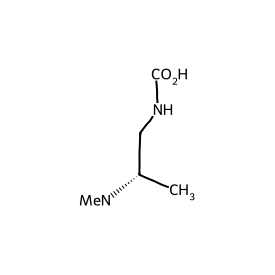 CN[C@@H](C)CNC(=O)O